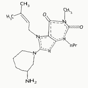 CCCn1c(=O)n(C)c(=O)c2c1nc(N1CCCC(N)C1)n2CC=C(C)C